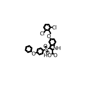 O=C(O)c1[nH]c2ccc(OCc3c(Cl)cccc3Cl)cc2c1S(=O)(=O)c1ccc(Oc2ccccc2)cc1